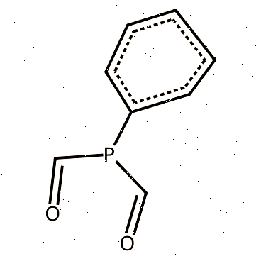 O=CP(C=O)c1ccccc1